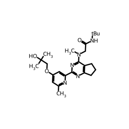 Cc1cc(OCC(C)(C)O)cc(-c2nc3c(c(N(C)CC(=O)NC(C)(C)C)n2)CCC3)n1